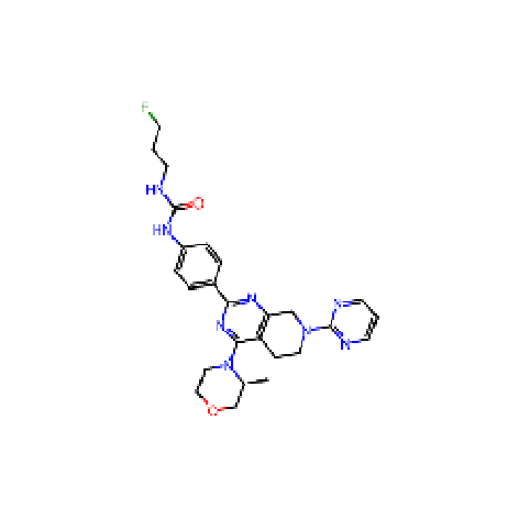 C[C@H]1COCCN1c1nc(-c2ccc(NC(=O)NCCCF)cc2)nc2c1CCN(c1ncccn1)C2